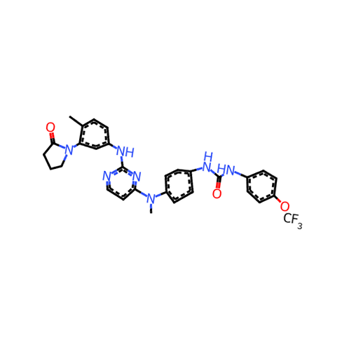 Cc1ccc(Nc2nccc(N(C)c3ccc(NC(=O)Nc4ccc(OC(F)(F)F)cc4)cc3)n2)cc1N1CCCC1=O